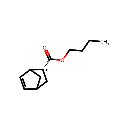 CCCCOC(=O)[C@@H]1CC2C=CC1C2